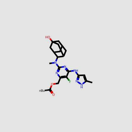 CCCCC(=O)OCc1nc(N(C)C2C3CC4CC2CC(O)(C4)C3)nc(Nc2cc(C)[nH]n2)c1F